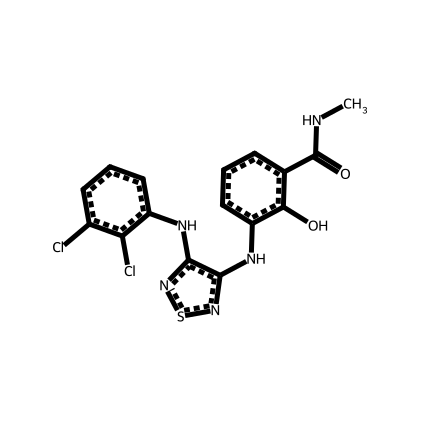 CNC(=O)c1cccc(Nc2nsnc2Nc2cccc(Cl)c2Cl)c1O